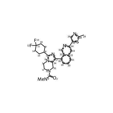 CNC(=O)N1CCn2c(C3CCC(F)(F)CC3)nc(-c3cccc4cc(-c5cnc(C)s5)ncc34)c2C1